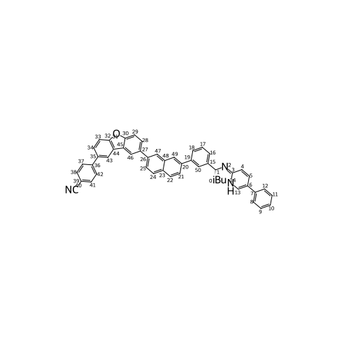 CC[C@@H](C)C(/N=c1/ccc(-c2ccccc2)c[nH]1)c1cccc(-c2ccc3ccc(-c4ccc5oc6ccc(-c7ccc(C#N)cc7)cc6c5c4)cc3c2)c1